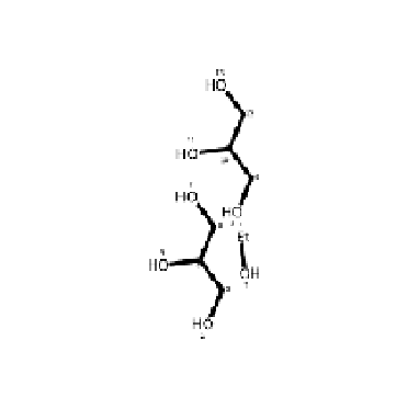 CCO.OCC(O)CO.OCC(O)CO